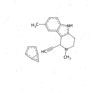 C#CC1c2c([nH]c3ccc(C)cc23)CCN1C.c1cc2cc-2c1